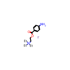 CC[N+](CC)(CC)CCOC(=O)c1ccc(N)cc1.[I-]